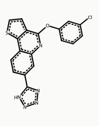 Clc1cccc(Oc2nc3cc(-c4nnn[nH]4)ccc3c3sccc23)c1